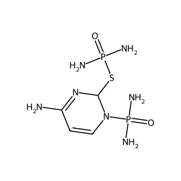 NC1=NC(SP(N)(N)=O)N(P(N)(N)=O)C=C1